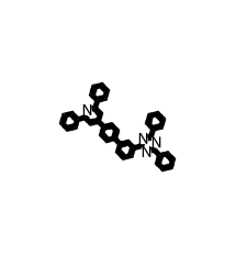 c1ccc(-c2cc(-c3ccc(-c4cccc(-c5nc(-c6ccccc6)nc(-c6ccccc6)n5)c4)cc3)cc(-c3ccccc3)n2)cc1